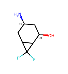 N[C@@H]1CC2C([C@H](O)C1)C2(F)F